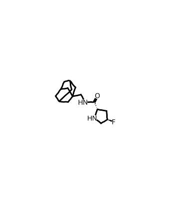 O=C(NCC12CC3CC(CC(C3)C1)C2)[C@@H]1C[C@@H](F)CN1